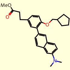 COC(=O)CCc1ccc(OCC2CCCC2)c(-c2ccc3cc(N(C)C)ccc3c2)c1